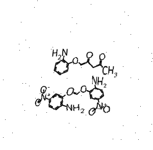 CC(=O)CC(=O)COc1ccccc1N.Nc1ccc([N+](=O)[O-])cc1OCOc1cc([N+](=O)[O-])ccc1N